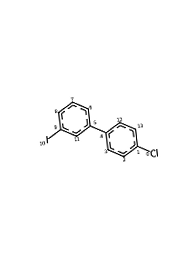 Clc1ccc(-c2cccc(I)c2)cc1